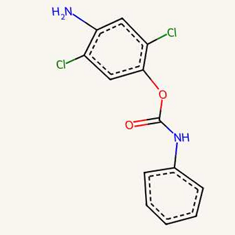 Nc1cc(Cl)c(OC(=O)Nc2ccccc2)cc1Cl